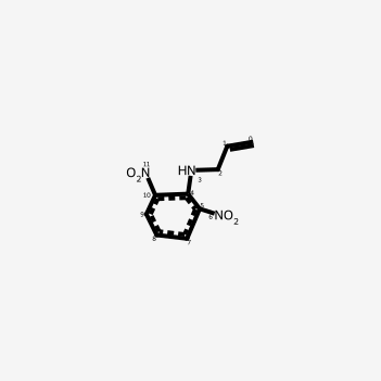 C=CCNc1c([N+](=O)[O-])cccc1[N+](=O)[O-]